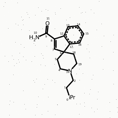 CC(C)CCN1CCC2(C=C(C(N)=O)c3ccccc32)CC1